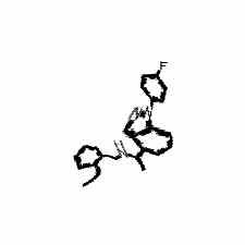 C=C(NCc1ccccc1CC)c1cccc2c1cnn2-c1ccc(F)cc1